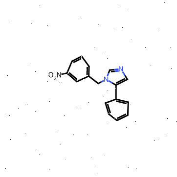 O=[N+]([O-])c1cccc(Cn2cncc2-c2ccccc2)c1